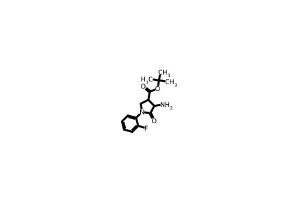 CC(C)(C)OC(=O)C1CN(c2ccccc2F)C(=O)C1N